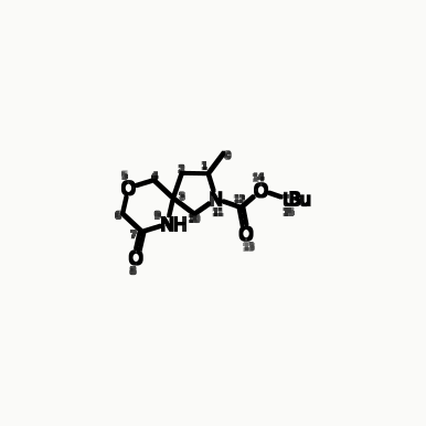 CC1CC2(COCC(=O)N2)CN1C(=O)OC(C)(C)C